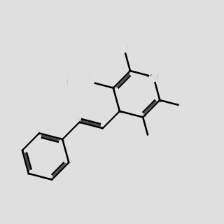 CCOC(=O)C1=C(C(=O)OCC)C(C=Cc2ccccc2)C(C(=O)OCC)=C(C)N1